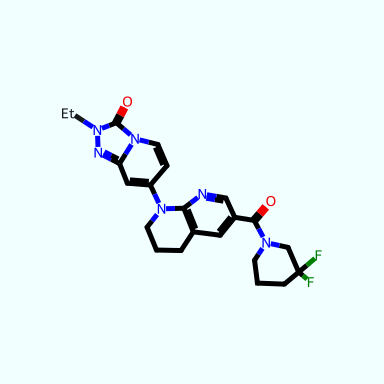 CCn1nc2cc(N3CCCc4cc(C(=O)N5CCCC(F)(F)C5)cnc43)ccn2c1=O